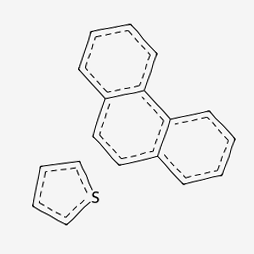 c1ccc2c(c1)ccc1ccccc12.c1ccsc1